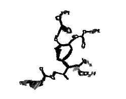 CCCCCC(=O)OCC(C)C(c1ccc(OC(=O)OCCC)c(OC(=O)OCCC)c1)[C@H](N)C(=O)O